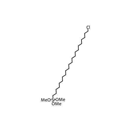 CO[Si](CCCCCCCCCCCCCCCCCCCCCCCl)(OC)OC